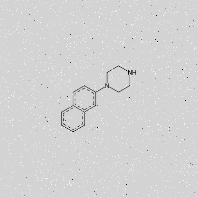 [c]1c(N2CCNCC2)ccc2ccccc12